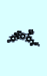 CNCc1cc(CC(N)=O)ccc1[C@H]1CC[C@H](N(C)S(=O)(=O)c2ccc(Cl)cc2)CC1